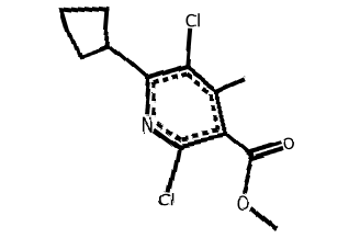 COC(=O)c1c(Cl)nc(C2CCC2)c(Cl)c1C